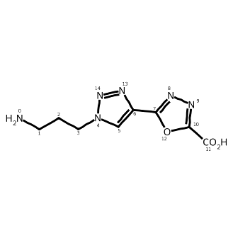 NCCCn1cc(-c2nnc(C(=O)O)o2)nn1